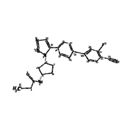 CCC(=O)N[C@H]1CC[C@@H](n2nncc2-c2ccc(-c3ccc(C#N)c(F)c3)cc2)C1